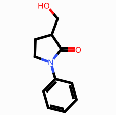 O=C1C(CO)CCN1c1ccccc1